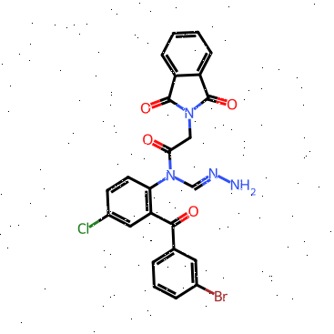 NN=CN(C(=O)CN1C(=O)c2ccccc2C1=O)c1ccc(Cl)cc1C(=O)c1cccc(Br)c1